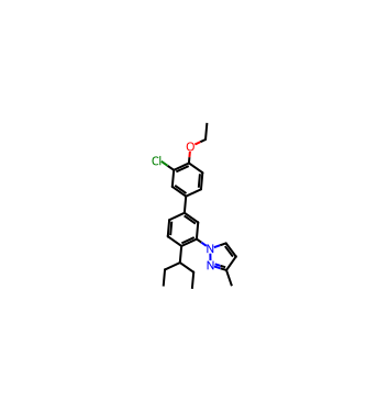 CCOc1ccc(-c2ccc(C(CC)CC)c(-n3ccc(C)n3)c2)cc1Cl